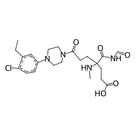 CCc1cc(N2CCN(C(=O)CCC(CCC(=O)O)(NC)C(=O)NC=O)CC2)ccc1Cl